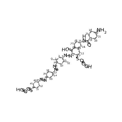 Cc1cc(N=Nc2c(SOOO)cc3cc(NC(=O)c4ccc(N)cc4)ccc3c2O)c(C)cc1N=Nc1ccc(N=Nc2ccc(SOOO)cc2)cc1